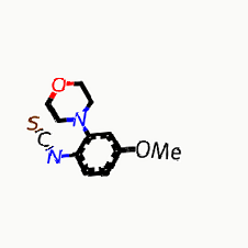 COc1ccc(N=C=S)c(N2CCOCC2)c1